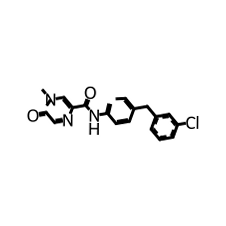 C=C(/C=C\C(=C/C)Cc1cccc(Cl)c1)NC(=O)C(=C/N(C)C)/N=C\C=O